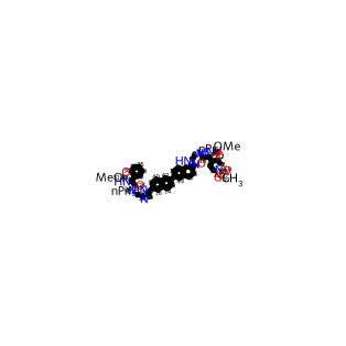 CCCN(Cc1nc2c([nH]1)-c1ccc(-c3ccc4cc(-c5cnc(CN(CCC)C(=O)[C@H](NC(=O)OC)c6ccccc6)[nH]5)ccc4c3)cc1CC2)C(=O)[C@@H](NC(=O)OC)C1CCN(S(C)(=O)=O)CC1